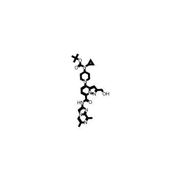 Cc1cn2cc(NC(=O)c3ccc(N4CCC(N(C(=O)OC(C)(C)C)C5CC5)CC4)c4cc(CO)nn34)nc2c(C)n1